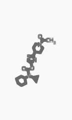 CC(=O)N1CCC(c2nc(OC(=O)N(C3CCCCC3)C3CC3)cs2)CC1